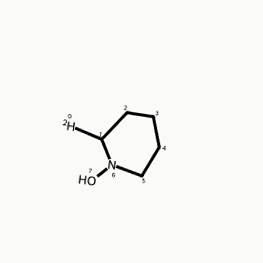 [2H]C1CCCCN1O